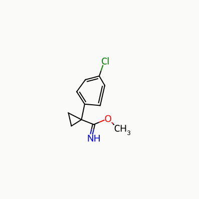 COC(=N)C1(c2ccc(Cl)cc2)CC1